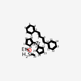 C(C=Cc1ccccc1)=Cc1ccccc1.C1=CC[C]([Zr][C]2=CC=CC2)=C1.CCO[SiH2]C